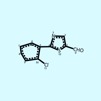 O=Cc1cnc(-c2ccccc2Cl)s1